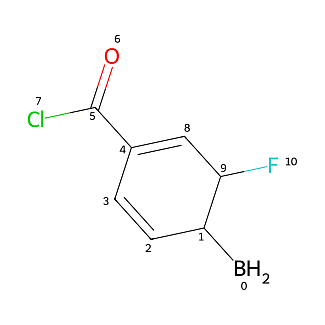 BC1C=CC(C(=O)Cl)=CC1F